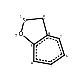 [CH]1SOc2ccccc21